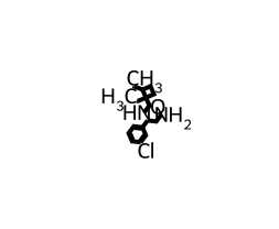 CCC1CCC1(CC)C(=O)NC(CN)c1cccc(Cl)c1